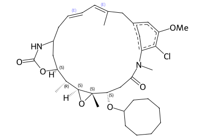 COc1cc2cc(c1Cl)N(C)C(=O)C[C@H](OC1CCCCCCC1)[C@]1(C)O[C@H]1[C@H](C)[C@@H]1CC(C/C=C/C=C(\C)C2)NC(=O)O1